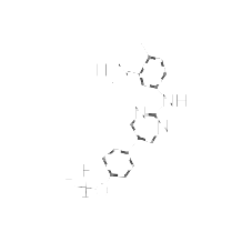 Cc1ccc(Nc2ncc(-c3ccc(OC(F)(F)F)cc3)cn2)cc1N